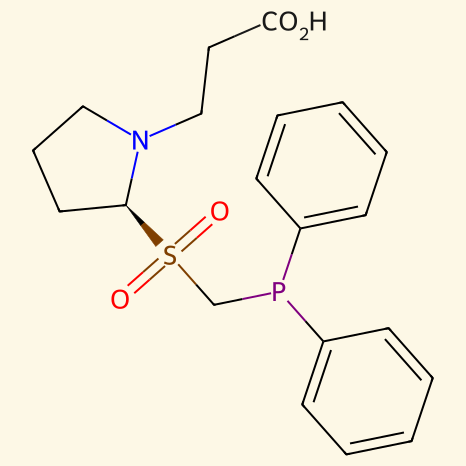 O=C(O)CCN1CCC[C@@H]1S(=O)(=O)CP(c1ccccc1)c1ccccc1